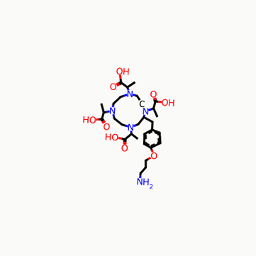 CC(C(=O)O)N1CCN(C(C)C(=O)O)CCN(C(C)C(=O)O)C(Cc2ccc(OCCCN)cc2)CN(C(C)C(=O)O)CC1